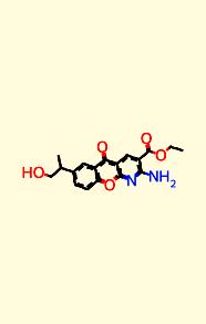 CCOC(=O)c1cc2c(=O)c3cc(C(C)CO)ccc3oc2nc1N